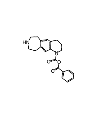 O=C(OC(=O)N1CCCc2cc3c(cc21)CCNCC3)c1ccccc1